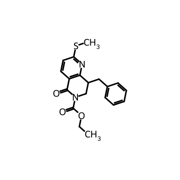 CCOC(=O)N1CC(Cc2ccccc2)c2nc(SC)ccc2C1=O